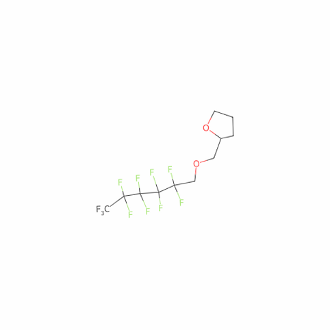 FC(F)(F)C(F)(F)C(F)(F)C(F)(F)C(F)(F)COCC1CCCO1